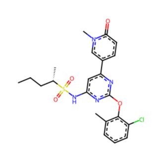 CCC[C@H](C)S(=O)(=O)Nc1cc(-c2ccc(=O)n(C)c2)nc(Oc2c(C)cccc2Cl)n1